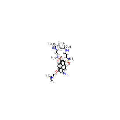 CN(C)CCCOc1cc(N)c2ccc3c([S+]([O-])N(C)CCCNC(CC(=O)O)C(=O)O)cc(S(=O)(=O)N(C)CCCNC(CC(=O)O)C(=O)O)c4ccc1c2c34